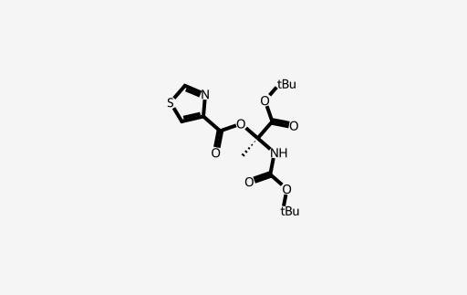 CC(C)(C)OC(=O)N[C@@](C)(OC(=O)c1cscn1)C(=O)OC(C)(C)C